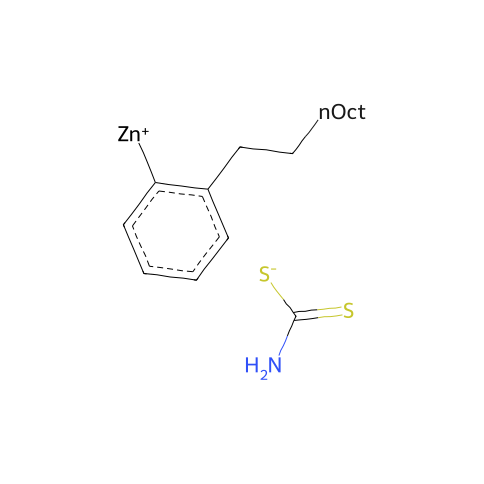 CCCCCCCCCCc1cccc[c]1[Zn+].NC(=S)[S-]